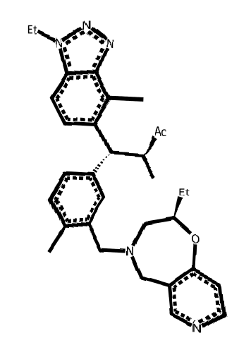 CC[C@@H]1CN(Cc2cc([C@H](c3ccc4c(nnn4CC)c3C)[C@H](C)C(C)=O)ccc2C)Cc2cnccc2O1